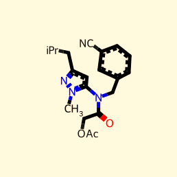 CC(=O)OCC(=O)N(Cc1cccc(C#N)c1)c1cc(CC(C)C)nn1C